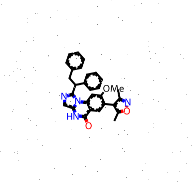 COc1cc2c(cc1-c1c(C)noc1C)c(=O)[nH]c1cnc(C(Cc3ccccc3)c3ccccc3)n12